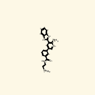 CC(=O)NCCNC(=O)c1cccc(-c2cnc(N)c(-c3nc4ccccc4s3)c2)c1